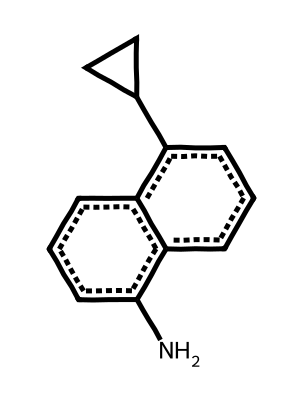 Nc1cccc2c(C3CC3)cccc12